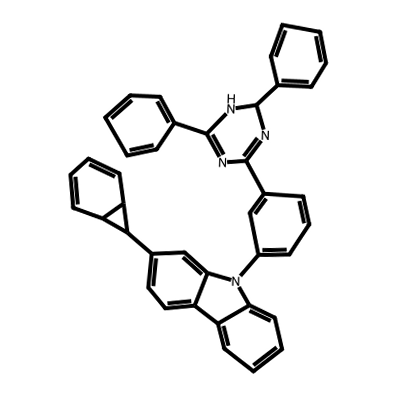 C1=CC2C(C=C1)C2c1ccc2c3ccccc3n(-c3cccc(C4=NC(c5ccccc5)NC(c5ccccc5)=N4)c3)c2c1